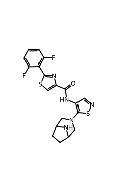 O=C(Nc1cnsc1N1CC2CCC(C1)N2)c1csc(-c2c(F)cccc2F)n1